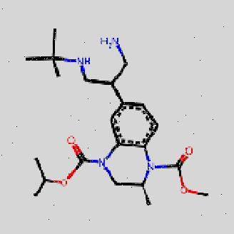 COC(=O)N1c2ccc(C(CN)CNC(C)(C)C)cc2N(C(=O)OC(C)C)C[C@@H]1C